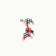 C[C@@H]1CC2C3CCC4=CC(=O)C=CC4(C)C3C(N=O)CC2(C)[C@@]1(OC(=O)C1=CC=CC1)C(=O)SCC#COC(=O)CC(C)(C)C